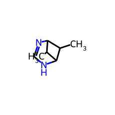 CC1C2N=CNC1C2C